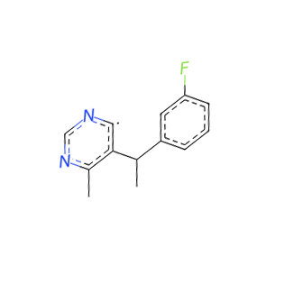 Cc1ncn[c]c1C(C)c1cccc(F)c1